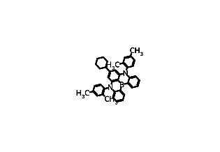 Cc1ccc(N2c3ccccc3B3c4ccccc4N(c4ccc(C)cc4C)c4cc(C5CCCCC5)cc2c43)c(C)c1